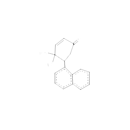 CC1(C)C=CC(=O)CC1c1cccc2ccccc12